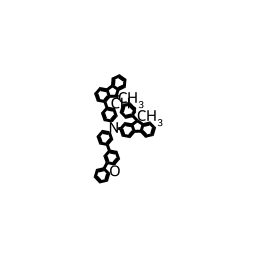 CC1(C)c2ccccc2-c2cccc(-c3ccc(N(c4cccc(-c5ccc6oc7ccccc7c6c5)c4)c4ccc5c(c4)C(C)(c4ccccc4)c4ccccc4-5)cc3)c21